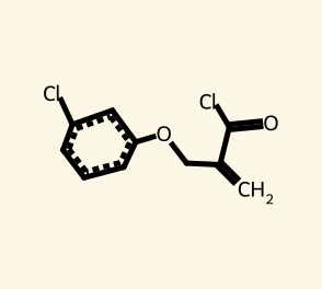 C=C(COc1cccc(Cl)c1)C(=O)Cl